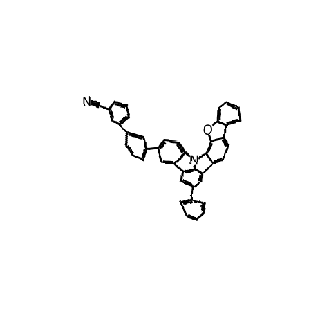 N#Cc1cccc(-c2cccc(-c3ccc4c(c3)c3cc(-c5ccccc5)cc5c6ccc7c8ccccc8oc7c6n4c35)c2)c1